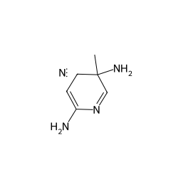 CC1(N)C=NC(N)=CC1.[N]